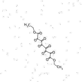 CCOC(=O)C(=O)C(=O)C(=O)C(=O)C(=O)C(=O)C(=O)OCC